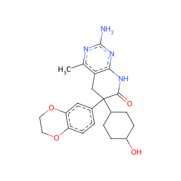 Cc1nc(N)nc2c1CC(c1ccc3c(c1)OCCO3)(C1CCC(O)CC1)C(=O)N2